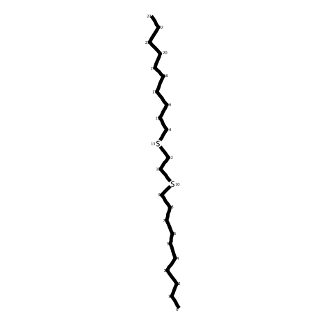 CCCCCCCCCCSCCSCCCCCCCCCC